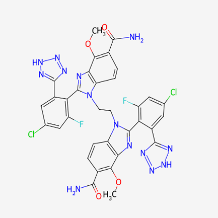 COc1c(C(N)=O)ccc2c1nc(-c1c(F)cc(Cl)cc1-c1nn[nH]n1)n2CCn1c(-c2c(F)cc(Cl)cc2-c2nn[nH]n2)nc2c(OC)c(C(N)=O)ccc21